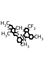 Cc1ccc2c(c1)c1cc(C(F)(F)F)ccc1c1nc3c(-c4cc5c(C)c6sc(C)cc6c(C)c5s4)ccc(C)c3nc21